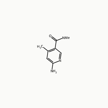 CNC(=O)c1cnc(N)cc1C